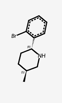 C[C@H]1CC[C@H](c2ccccc2Br)NC1